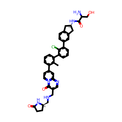 Cc1c(-c2ccn3c(=O)c(CNC[C@H]4CCC(=O)N4)cnc3c2)cccc1-c1cccc(-c2ccc3c(c2)C[C@@H](NC(=O)C(N)CO)C3)c1Cl